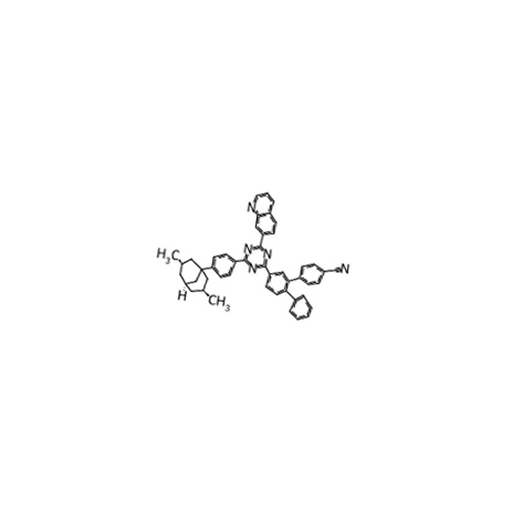 C[C@@H]1C[C@@H]2C[C@H](C)CC(c3ccc(-c4nc(-c5ccc(-c6ccccc6)c(-c6ccc(C#N)cc6)c5)nc(-c5ccc6cccnc6c5)n4)cc3)(C1)C2